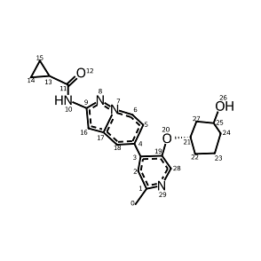 Cc1cc(-c2ccn3nc(NC(=O)C4CC4)cc3c2)c(O[C@H]2CCCC(O)C2)cn1